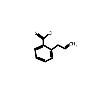 C=CCc1ccccc1C(=S)Cl